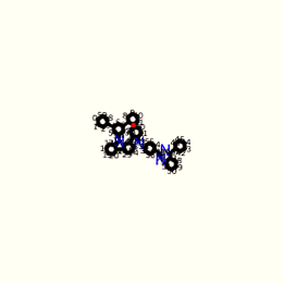 c1ccc(-c2cc(-c3ccccc3)cc(-n3c4ccccc4c4ccc5c(c6ccccc6n5-c5ccc(-c6nc(-c7ccccc7)c7ccccc7n6)cc5)c43)c2)cc1